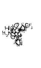 NC(=O)c1c(C2COCC2O)c(-c2ccc(C(F)(F)F)cc2)nn(-c2cccnc2)c1=O